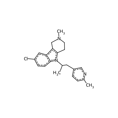 Cc1ccc(CC(C)n2c3c(c4cc(Cl)ccc42)CN(C)CC3)cn1